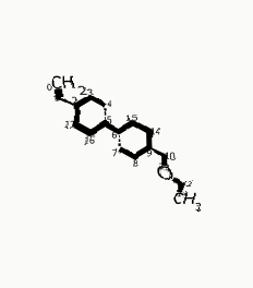 C=C[C@H]1CC[C@H]([C@H]2CC[C@H](COCC)CC2)CC1